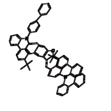 CC(C)(C)c1ccc(-c2ccccc2N(c2ccc(-c3ccccc3)cc2)c2ccc3cc4c(cc3c2)oc2cc3cc(N(c5ccccc5-c5ccccc5)c5ccccc5-c5ccc(C(C)(C)C)cc5)ccc3cc24)cc1